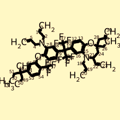 C=CCN(CC=C)c1cc(C(c2ccc3c(c2)N(CC=C)C(C=C)CC(CC)(CC=C)O3)(C(F)(F)F)C(F)(F)F)ccc1Oc1cc(C(C)(CC)CC)ccc1C(F)(F)F